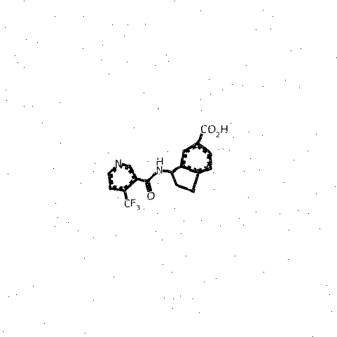 O=C(O)c1ccc2c(c1)C(NC(=O)c1cnccc1C(F)(F)F)CC2